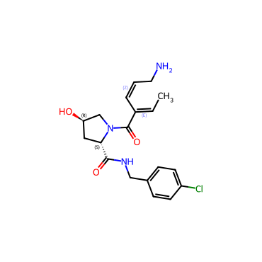 C/C=C(\C=C/CN)C(=O)N1C[C@H](O)C[C@H]1C(=O)NCc1ccc(Cl)cc1